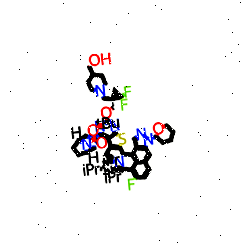 CC(C)[Si](C#Cc1c(F)ccc2cc3c(cnn3C3CCCCO3)c(-c3nccc4c3sc3nc(OC[C@]5(CN6CCC(CO)CC6)CC5(F)F)nc(N5C[C@H]6CC[C@@H](C5)N6C(=O)OC(C)(C)C)c34)c12)(C(C)C)C(C)C